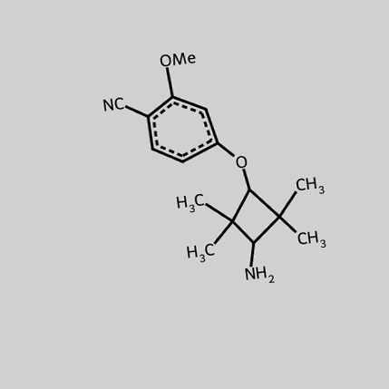 COc1cc(OC2C(C)(C)C(N)C2(C)C)ccc1C#N